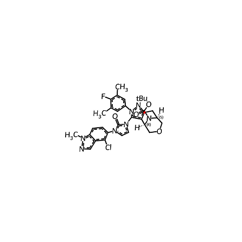 Cc1cc(-n2nc3c(c2-n2ccn(-c4ccc5c(cnn5C)c4Cl)c2=O)[C@@H]2COC[C@H](C3)N2C(=O)OC(C)(C)C)cc(C)c1F